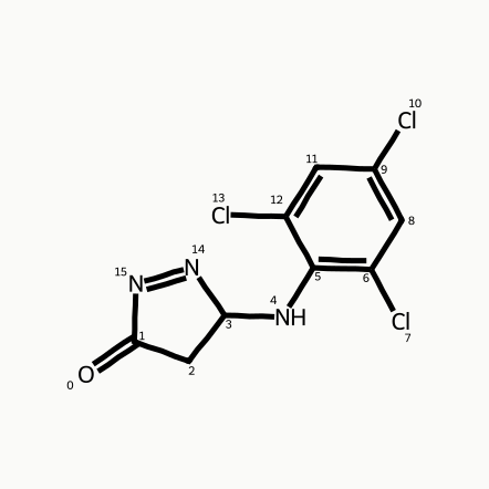 O=C1CC(Nc2c(Cl)cc(Cl)cc2Cl)N=N1